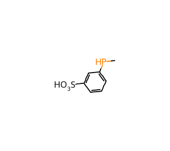 CPc1cccc(S(=O)(=O)O)c1